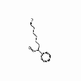 O=CCCCCCC(C=O)c1ccccc1